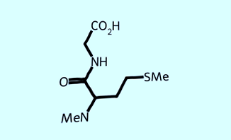 CNC(CCSC)C(=O)NCC(=O)O